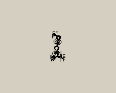 Cn1cc(-c2cc(C(F)(F)F)cnc2C(=O)N2CCC(C(C)(C)S(=O)(=O)c3cccc(C(F)(F)F)c3)CC2)cn1